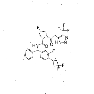 O=C(NC(c1ccccc1)c1ccc(C2CC(F)(F)C2)c(F)c1)C1CC(F)CN1C(=O)Cc1[nH]nnc1C(F)(F)F